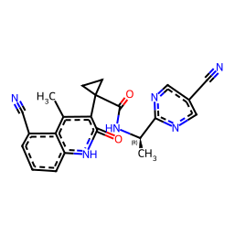 Cc1c(C2(C(=O)N[C@H](C)c3ncc(C#N)cn3)CC2)c(=O)[nH]c2cccc(C#N)c12